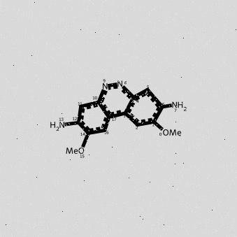 COc1cc2c(cc1N)nnc1cc(N)c(OC)cc12